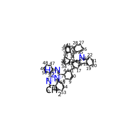 C=C(/N=C(\N=C(/N)c1cc#cc(-c2cc3c4c(c2)c2ccccc2n4-c2ccccc2C32c3ccccc3-c3ccccc32)c1)c1ccccc1)c1ccccc1